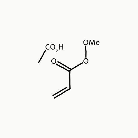 C=CC(=O)OOC.CC(=O)O